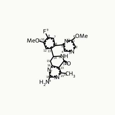 COc1cncc(-c2cc(F)c(OC)cc2C2Cc3nc(N)nc(C)c3C(=O)N2)n1